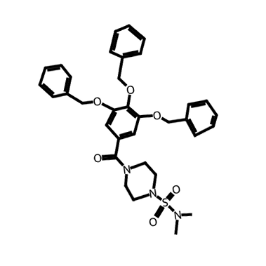 CN(C)S(=O)(=O)N1CCN(C(=O)c2cc(OCc3ccccc3)c(OCc3ccccc3)c(OCc3ccccc3)c2)CC1